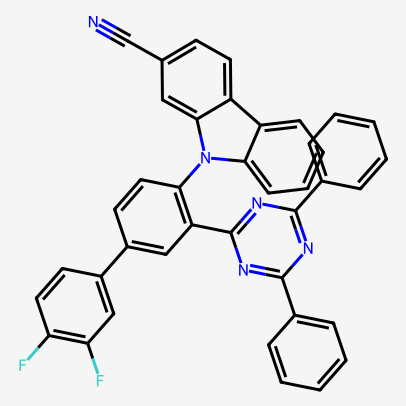 N#Cc1ccc2c3ccccc3n(-c3ccc(-c4ccc(F)c(F)c4)cc3-c3nc(-c4ccccc4)nc(-c4ccccc4)n3)c2c1